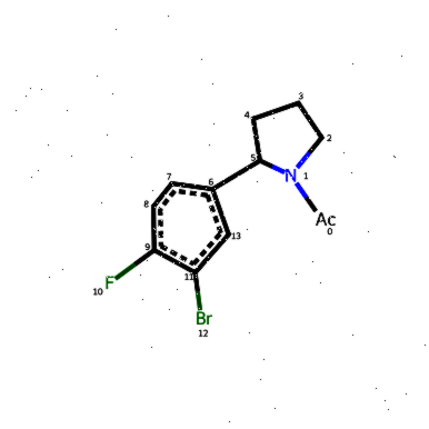 CC(=O)N1CCCC1c1ccc(F)c(Br)c1